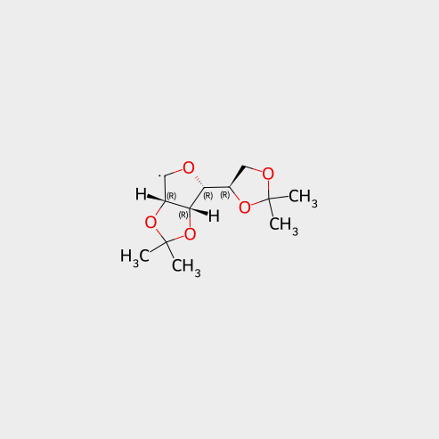 CC1(C)O[C@H]2[C@@H]([C@H]3COC(C)(C)O3)O[CH][C@H]2O1